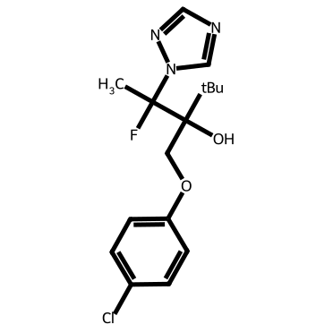 CC(C)(C)C(O)(COc1ccc(Cl)cc1)C(C)(F)n1cncn1